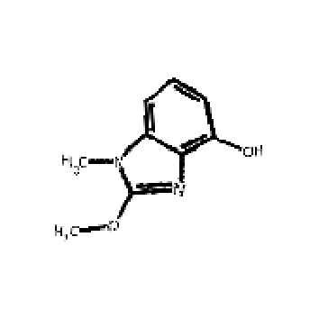 COc1nc2c(O)cccc2n1C